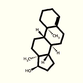 C[C@]12CC[C@H]3[C@@H](CCC4=CCCC[C@@]43C)[C@@H]1CC[C@H]2O